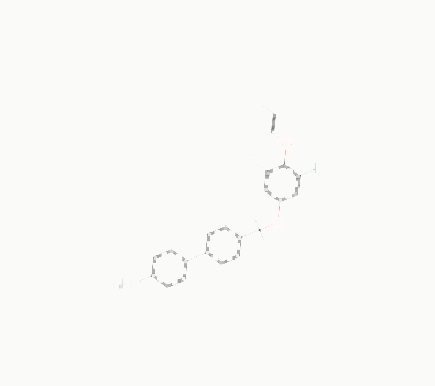 CCCc1ccc(-c2ccc(C(F)(F)Oc3cc(F)c(OC=CC(F)(F)F)c(F)c3)cc2)cc1